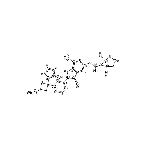 COC1CC(c2cccc(N3Cc4c(cc(CNC5[C@H]6COC[C@@H]56)cc4C(F)(F)F)C3=O)c2)(c2nncn2C)C1